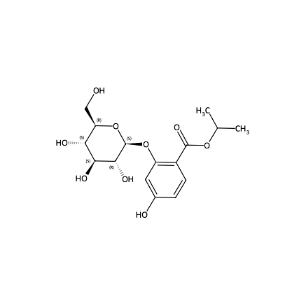 CC(C)OC(=O)c1ccc(O)cc1O[C@@H]1O[C@H](CO)[C@@H](O)[C@H](O)[C@H]1O